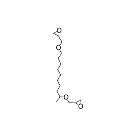 CC(CCCCCCCCOCC1CO1)OCC1CO1